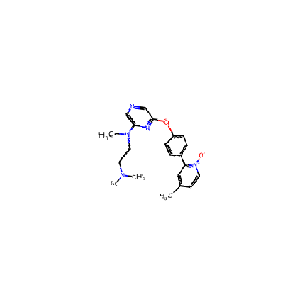 CC(=O)N(C)CCN(C)c1cncc(Oc2ccc(-c3cc(C)cc[n+]3[O-])cc2)n1